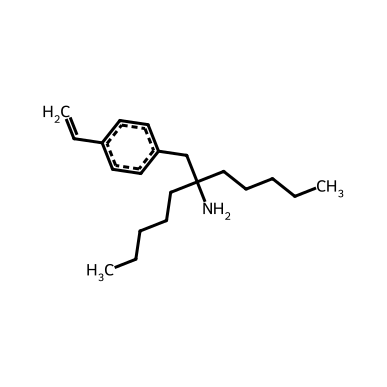 C=Cc1ccc(CC(N)(CCCCC)CCCCC)cc1